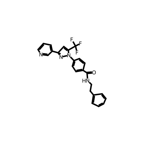 O=C(NCCc1ccccc1)c1ccc(-n2nc(-c3cccnc3)cc2C(F)(F)F)cc1